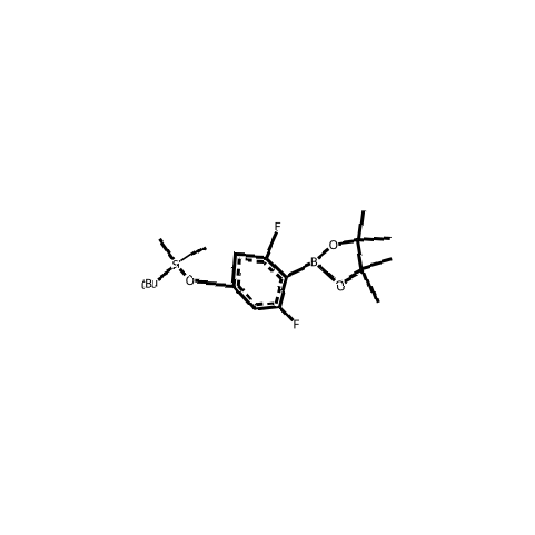 CC1(C)OB(c2c(F)cc(O[Si](C)(C)C(C)(C)C)cc2F)OC1(C)C